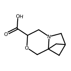 O=C(O)C1CN2CC3CC2(CO1)C3